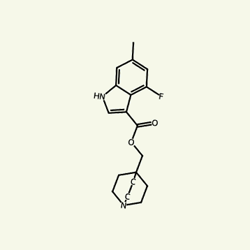 Cc1cc(F)c2c(C(=O)OCC34CCN(CC3)CC4)c[nH]c2c1